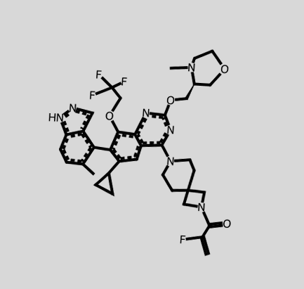 C=C(F)C(=O)N1CC2(CCN(c3nc(OC[C@@H]4COCCN4C)nc4c(OCC(F)(F)F)c(-c5c(C)ccc6[nH]ncc56)c(C5CC5)cc34)CC2)C1